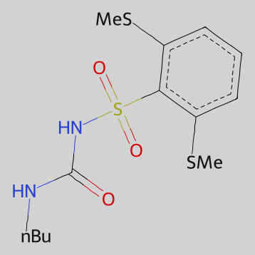 CCCCNC(=O)NS(=O)(=O)c1c(SC)cccc1SC